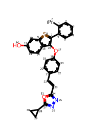 CC(C)c1ccccc1-c1sc2cc(O)ccc2c1Oc1ccc(/C=C/c2nnc(C3CC3)o2)cc1